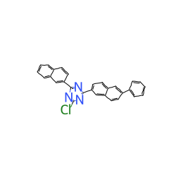 Clc1nc(-c2ccc3ccccc3c2)nc(-c2ccc3cc(-c4ccccc4)ccc3c2)n1